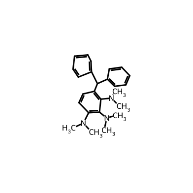 CN(C)c1ccc(C(c2ccccc2)c2ccccc2)c(N(C)C)c1N(C)C